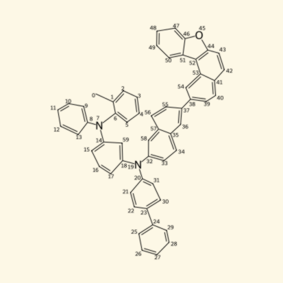 Cc1ccccc1N(c1ccccc1)c1cccc(N(c2ccc(-c3ccccc3)cc2)c2ccc3cc(-c4ccc5ccc6oc7ccccc7c6c5c4)ccc3c2)c1